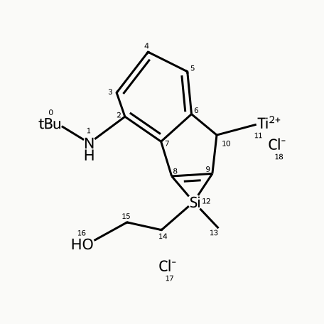 CC(C)(C)Nc1cccc2c1C1=C([CH]2[Ti+2])[Si]1(C)CCO.[Cl-].[Cl-]